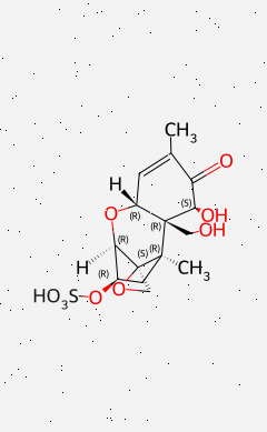 CC1=C[C@H]2O[C@@H]3[C@H](OS(=O)(=O)O)C[C@](C)([C@@]2(CO)[C@H](O)C1=O)[C@]31CO1